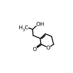 CC(O)CC1=CCCOC1=O